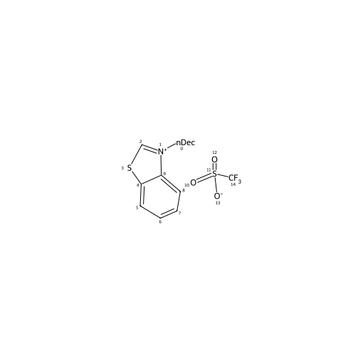 CCCCCCCCCC[n+]1csc2ccccc21.O=S(=O)([O-])C(F)(F)F